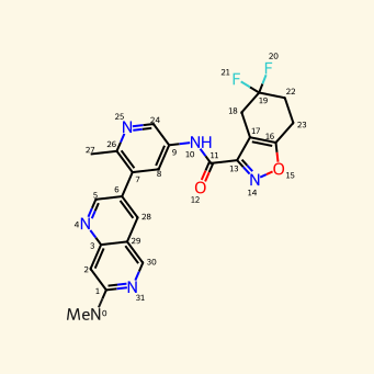 CNc1cc2ncc(-c3cc(NC(=O)c4noc5c4CC(F)(F)CC5)cnc3C)cc2cn1